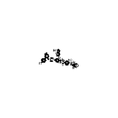 CC1(C)CCC(CN2CCN(c3ccc(C(=O)NS(=O)(=O)c4ccc(NC[C@@H]5[C@H]6COC[C@@H]56)c([N+](=O)[O-])c4)c(Oc4cnc5[nH]ccc5c4)c3)CC2)=C(c2ccc(Cl)cc2)C1